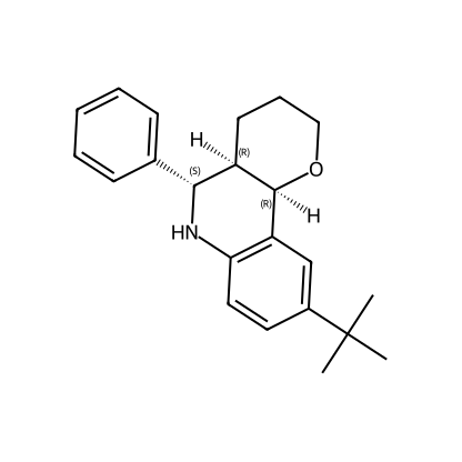 CC(C)(C)c1ccc2c(c1)[C@@H]1OCCC[C@@H]1[C@@H](c1ccccc1)N2